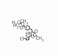 CCOC(=O)C(CC1CCN(C(=O)OC(C)(C)C)CC1)NC(=O)c1ccc(Cl)s1